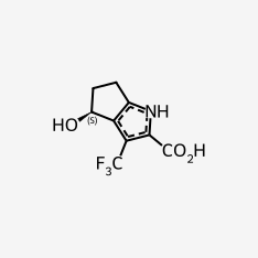 O=C(O)c1[nH]c2c(c1C(F)(F)F)[C@@H](O)CC2